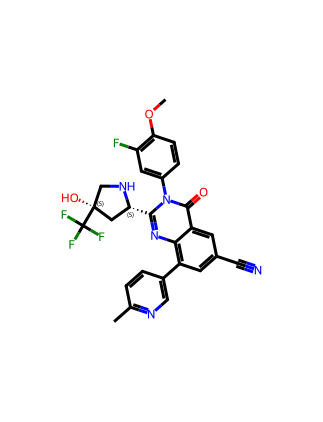 COc1ccc(-n2c([C@@H]3C[C@@](O)(C(F)(F)F)CN3)nc3c(-c4ccc(C)nc4)cc(C#N)cc3c2=O)cc1F